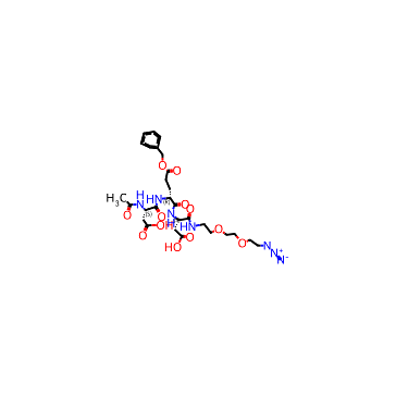 CC(=O)N[C@@H](CC(=O)O)C(=O)N[C@H](CCC(=O)OCc1ccccc1)C(=O)N[C@@H](CC(=O)O)C(=O)NCCOCCOCCN=[N+]=[N-]